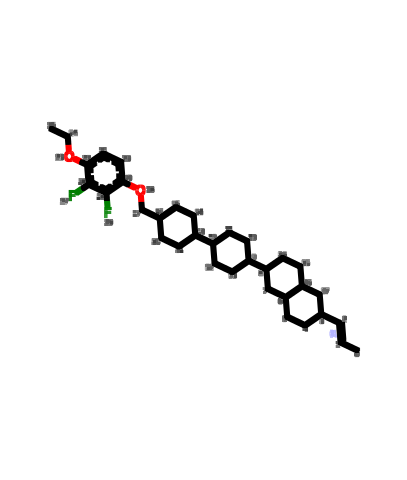 C/C=C/C1CCC2CC(C3CCC(C4CCC(COc5ccc(OCC)c(F)c5F)CC4)CC3)CCC2C1